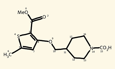 COC(=O)c1sc(C)cc1OCC1CCN(C(=O)O)CC1